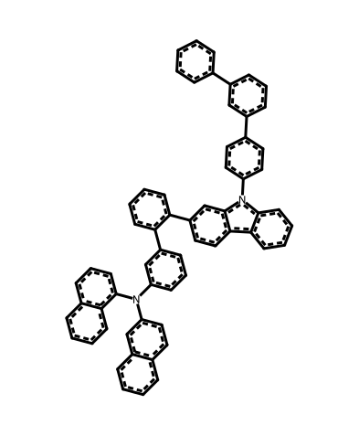 c1ccc(-c2cccc(-c3ccc(-n4c5ccccc5c5ccc(-c6ccccc6-c6cccc(N(c7ccc8ccccc8c7)c7cccc8ccccc78)c6)cc54)cc3)c2)cc1